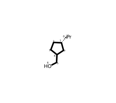 CC(C)[C@H]1CCC(CO)C1